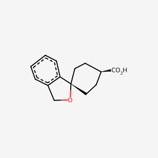 O=C(O)[C@H]1CC[C@@]2(CC1)OCc1ccccc12